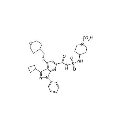 O=C(NS(=O)(=O)NC1CCN(C(=O)O)CC1)c1cc(OCC2CCOCC2)c2c(C3CCC3)nn(-c3ccccc3)c2n1